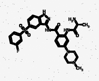 C[C@H](N)C(=O)Nc1cc(N2CCN(C)CC2)ccc1C(=O)Nc1n[nH]c2ccc(S(=O)(=O)c3cccc(F)c3)cc12